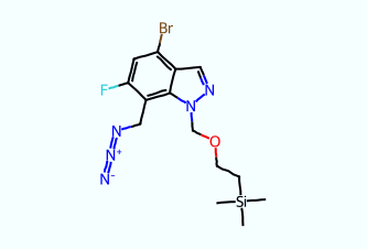 C[Si](C)(C)CCOCn1ncc2c(Br)cc(F)c(CN=[N+]=[N-])c21